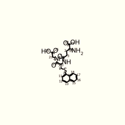 N[C@@H](CCC(=O)N[C@@H](CSc1cccc2ccccc12)C(=O)NCC(=O)O)C(=O)O